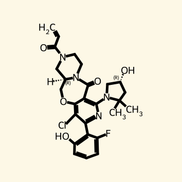 C=CC(=O)N1CCN2C(=O)c3c(N4C[C@H](O)CC4(C)C)nc(-c4c(O)cccc4F)c(Cl)c3OC[C@H]2C1